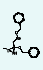 C[C@@H]1NC1(CNOCc1ccccc1)OCc1ccccc1